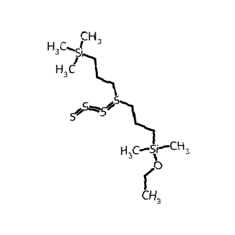 CCO[Si](C)(C)CCCS(CCC[Si](C)(C)C)=S=S=S